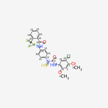 COc1cc(OC)c(NC(=O)N(S)c2ccc(NC(=O)c3ccccc3C(F)(F)F)cc2)cc1Cl